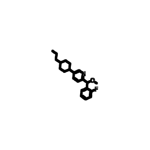 CCCC1CCC(c2ccc(C(OC)c3ccccc3F)nc2)CC1